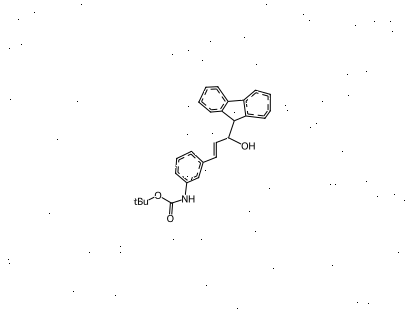 CC(C)(C)OC(=O)Nc1cccc(C=CC(O)C2c3ccccc3-c3ccccc32)c1